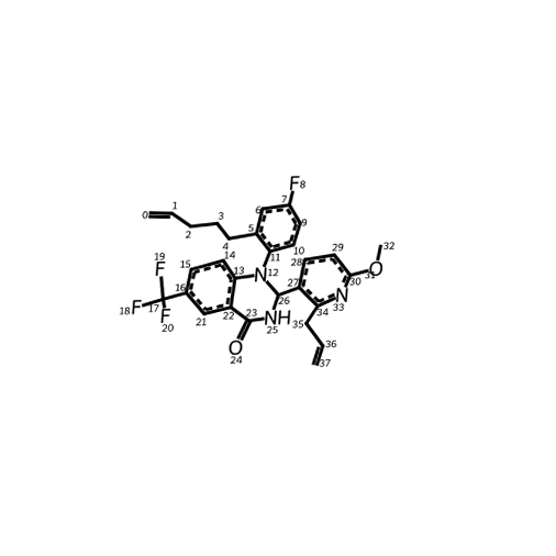 C=CCCCc1cc(F)ccc1N1c2ccc(C(F)(F)F)cc2C(=O)NC1c1ccc(OC)nc1CC=C